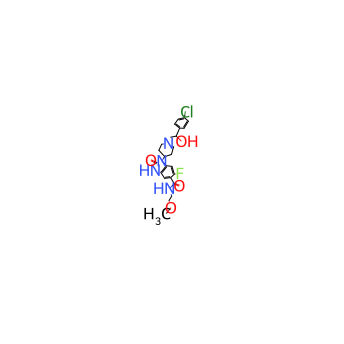 COCCNC(=O)c1cc2[nH]c(=O)n(C3CCN(CC(O)c4ccc(Cl)cc4)CC3)c2cc1F